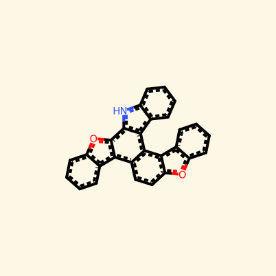 c1ccc2c(c1)[nH]c1c3oc4ccccc4c3c3ccc4oc5ccccc5c4c3c21